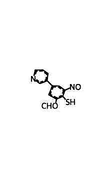 O=Cc1cc(-c2cccnc2)cc(N=O)c1S